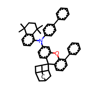 CC1(C)CCC(C)(C)c2c(N(c3ccc(-c4ccccc4)cc3)c3ccc4c(c3)Oc3c(-c5ccccc5)cccc3C43C4CC5CC6CC3C64C5)cccc21